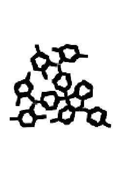 Cc1ccc(N2c3ccccc3C(c3ccc(N(c4cc(C)ccc4C)c4cc(C)ccc4C)cc3)(c3ccc(N(c4cc(C)ccc4C)c4cc(C)ccc4C)cc3)c3cc(C)ccc32)cc1